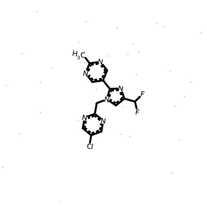 Cc1ncc(-c2nc(C(F)F)cn2Cc2ncc(Cl)cn2)cn1